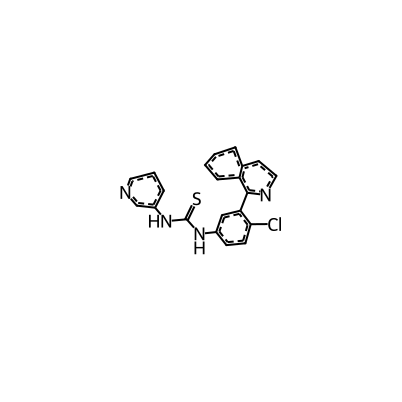 S=C(Nc1cccnc1)Nc1ccc(Cl)c(-c2nccc3ccccc23)c1